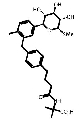 CS[C@H]1O[C@@H](c2ccc(C)c(Cc3ccc(CCCC(=O)NC(C)(C)C(=O)O)cc3)c2)[C@H](O)[C@@H](O)[C@@H]1O